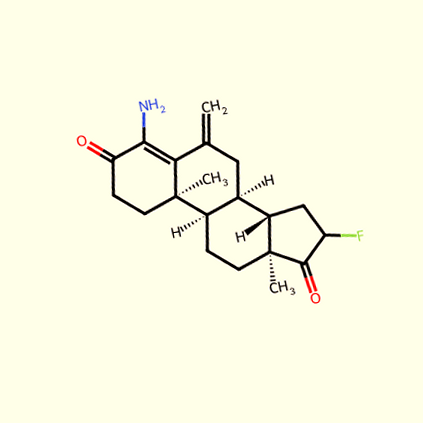 C=C1C[C@@H]2[C@@H](CC[C@]3(C)C(=O)C(F)C[C@@H]23)[C@@]2(C)CCC(=O)C(N)=C12